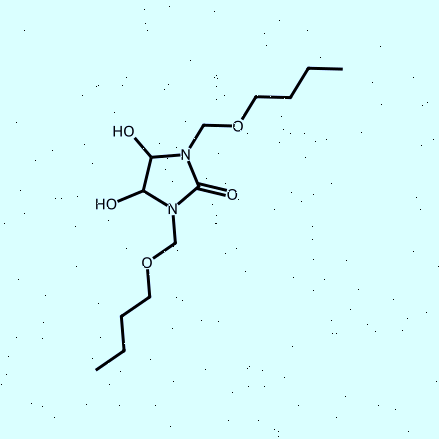 CCCCOCN1C(=O)N(COCCCC)C(O)C1O